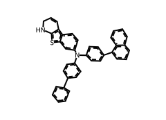 C1=Cc2c(sc3cc(N(c4ccc(-c5ccccc5)cc4)c4ccc(-c5cccc6ccccc56)cc4)ccc23)NC1